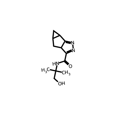 CC(C)(CO)NC(=O)C1=NN=C2C1CC1CC21